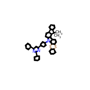 CC1(C)c2ccccc2-c2ccc3c(c21)c1ccc2c(c1n3-c1ccc(-c3cc(-c4ccccc4)nc(-c4ccccc4)n3)cc1)Sc1ccccc1S2